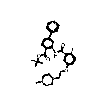 Cc1ccc(OCCN2CCN(C)CC2)cc1C(=O)Nc1cc(-c2ccccc2)ccc1C(=O)OC(C)(C)C